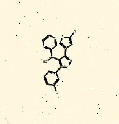 OC(c1cccnc1)c1c(-c2csc(Cl)c2)noc1-c1cccc(Cl)c1